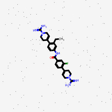 CCc1cc(NC(=O)c2ccc(C3=CCN(C(=N)N)CC3)c(F)c2)ccc1C1=CCN(C(=N)N)CC1